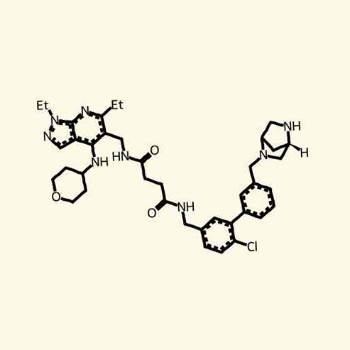 CCc1nc2c(cnn2CC)c(NC2CCOCC2)c1CNC(=O)CCC(=O)NCc1ccc(Cl)c(-c2cccc(CN3C[C@@H]4CC3CN4)c2)c1